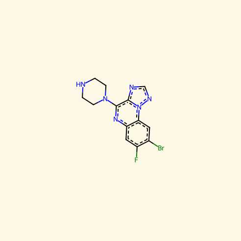 Fc1cc2nc(N3CCNCC3)c3ncnn3c2cc1Br